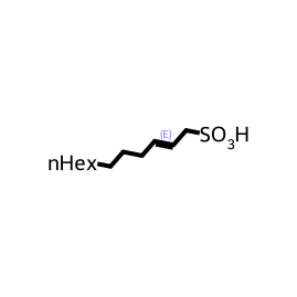 CCCCCCCCC/C=C/CS(=O)(=O)O